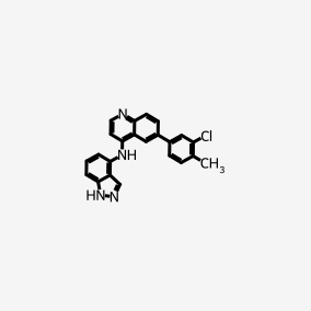 Cc1ccc(-c2ccc3nccc(Nc4cccc5[nH]ncc45)c3c2)cc1Cl